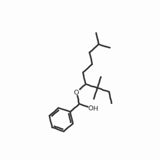 CCC(C)(C)C(CCCC(C)C)OC(O)c1ccccc1